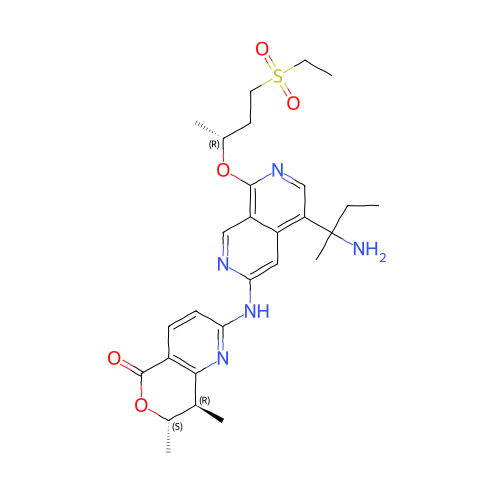 CCC(C)(N)c1cnc(O[C@H](C)CCS(=O)(=O)CC)c2cnc(Nc3ccc4c(n3)[C@@H](C)[C@H](C)OC4=O)cc12